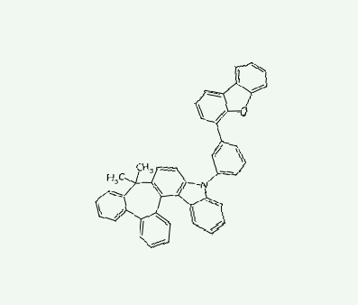 CC1(C)c2ccccc2-c2ccccc2-c2c1ccc1c2c2ccccc2n1-c1cccc(-c2cccc3c2oc2ccccc23)c1